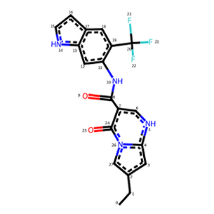 CCc1cc2[nH]cc(C(=O)Nc3cc4[nH]ccc4cc3C(F)(F)F)c(=O)n2c1